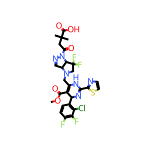 COC(=O)C1=C(CN2CC(F)(F)C3C2C=NN3C(=O)CC(C)(C)C(=O)O)NC(c2nccs2)=NC1c1ccc(F)c(F)c1Cl